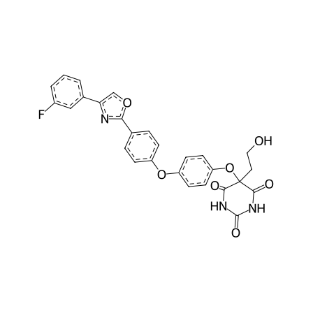 O=C1NC(=O)C(CCO)(Oc2ccc(Oc3ccc(-c4nc(-c5cccc(F)c5)co4)cc3)cc2)C(=O)N1